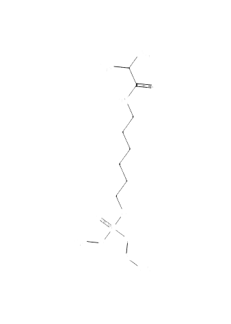 COOP(=S)(OC)OCCCCCCNC(=O)C(C)C